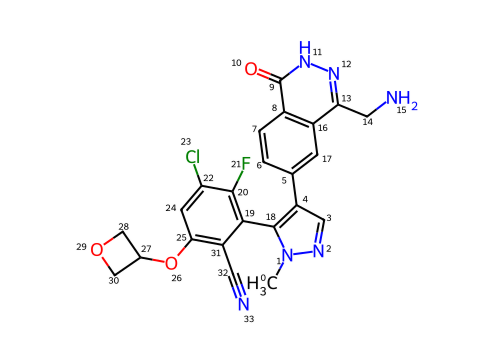 Cn1ncc(-c2ccc3c(=O)[nH]nc(CN)c3c2)c1-c1c(F)c(Cl)cc(OC2COC2)c1C#N